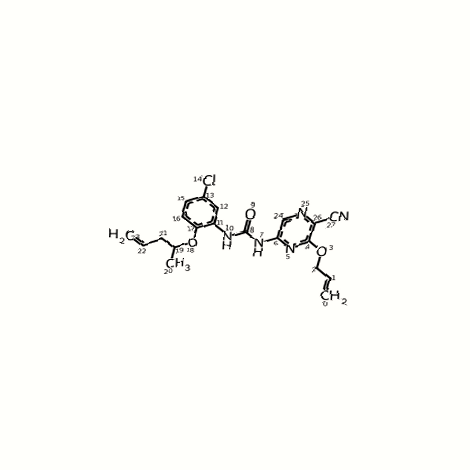 C=CCOc1nc(NC(=O)Nc2cc(Cl)ccc2OC(C)CC=C)cnc1C#N